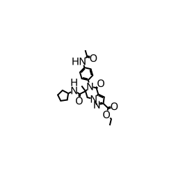 CCOC(=O)c1cc2n(n1)CC(C)(C(=O)NC1CCCC1)N(c1ccc(NC(C)=O)cc1)C2=O